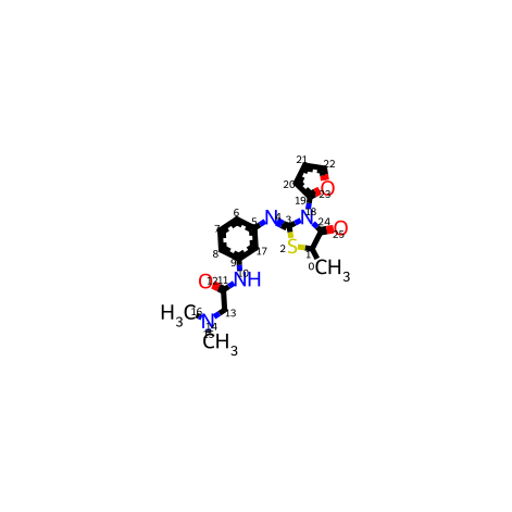 CC1SC(=Nc2cccc(NC(=O)CN(C)C)c2)N(c2ccco2)C1=O